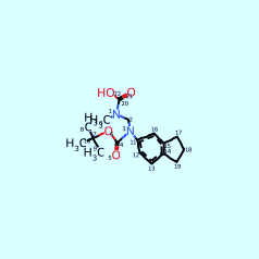 CN(CN(C(=O)OC(C)(C)C)c1ccc2c(c1)CCC2)C(=O)O